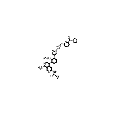 COc1c(-c2cnn(C3CN(Cc4cccc(C(=O)N5CCCC5)n4)C3)c2)cccc1-c1cnc(N)c2cnc(NC(=O)C3CC3)cc12